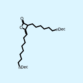 CCCCCCCCCCCCCCCCCC=C1OC(=O)C1CCCCCCCCCCCCCCCC